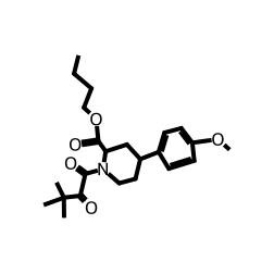 CCCCOC(=O)C1CC(c2ccc(OC)cc2)CCN1C(=O)C(=O)C(C)(C)C